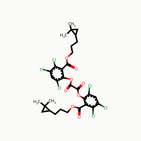 CC1(C)CC1CCCOC(=O)c1c(Cl)c(Cl)cc(Cl)c1OC(=O)C(=O)Oc1c(Cl)cc(Cl)c(Cl)c1C(=O)OCCCC1CC1(C)C